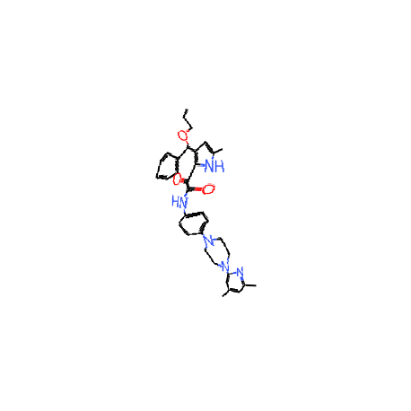 CCCOC(c1ccccc1)c1cc(C)[nH]c1C(=O)C(=O)Nc1ccc(N2CCN(c3cc(C)cc(C)n3)CC2)cc1